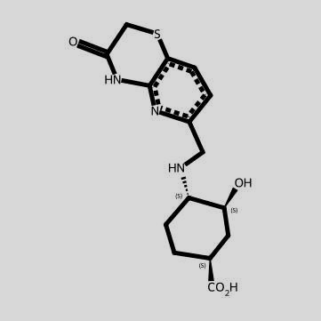 O=C1CSc2ccc(CN[C@H]3CC[C@H](C(=O)O)C[C@@H]3O)nc2N1